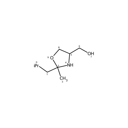 CC(C)CC1(C)NC(CO)CO1